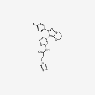 O=C(CCn1ccnn1)Nc1cc(-c2c(-c3ccc(F)cc3)nn3c2OCCC3)ccn1